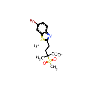 CC(CCc1nc2ccc(Br)cc2s1)(C(=O)[O-])S(C)(=O)=O.[Li+]